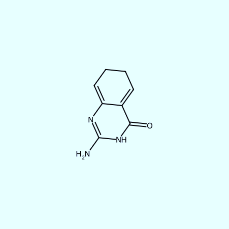 Nc1nc2c(c(=O)[nH]1)=CCCC=2